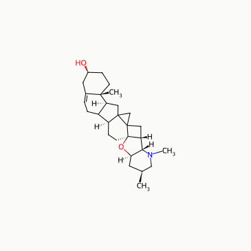 C[C@H]1C[C@H]2O[C@@]34CC[C@H]5C6CC=C7C[C@@H](O)CC[C@]7(C)[C@H]6CC56CC63C[C@@H]4[C@@H]2N(C)C1